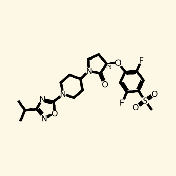 CC(C)c1noc(N2CCC(N3CC[C@@H](Oc4cc(F)c(S(C)(=O)=O)cc4F)C3=O)CC2)n1